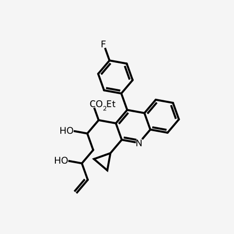 C=CC(O)CC(O)C(C(=O)OCC)c1c(C2CC2)nc2ccccc2c1-c1ccc(F)cc1